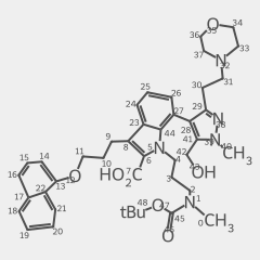 CN(CCCn1c(C(=O)O)c(CCCOc2cccc3ccccc23)c2cccc(-c3c(CCN4CCOCC4)nn(C)c3CO)c21)C(=O)OC(C)(C)C